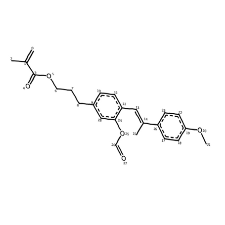 C=C(C)C(=O)OCCCc1ccc(/C=C(\C)c2ccc(OC)cc2)c(OC=O)c1